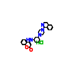 Cl.O=c1cc(NC2CCCC(N3CCN(c4nccc5ccccc45)CC3)C2)c2ccccc2o1